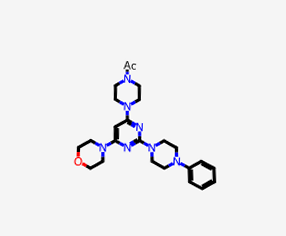 CC(=O)N1CCN(c2cc(N3CCOCC3)nc(N3CCN(c4ccccc4)CC3)n2)CC1